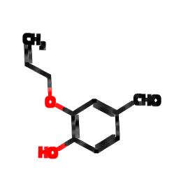 C=CCOc1cc(C=O)ccc1O